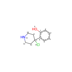 Oc1ccccc1C1(Cl)CCNCC1